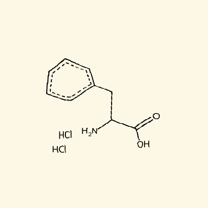 Cl.Cl.NC(Cc1ccccc1)C(=O)O